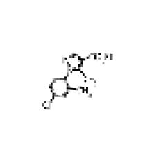 CCOC(=O)c1cnn(-c2ccc(Cl)cc2C)c1C(F)(F)F